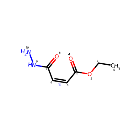 CCOC(=O)/C=C\C(=O)NN